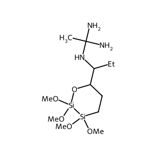 CCC(NC(C)(N)N)C1CC[Si](OC)(OC)[Si](OC)(OC)O1